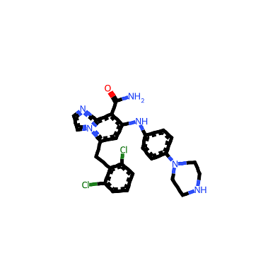 NC(=O)c1c(Nc2ccc(N3CCNCC3)cc2)cc(Cc2c(Cl)cccc2Cl)n2ccnc12